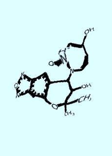 CC1(C)Oc2cc3nonc3cc2C(N2C=CC(O)=C[NH+]2[O-])C1O